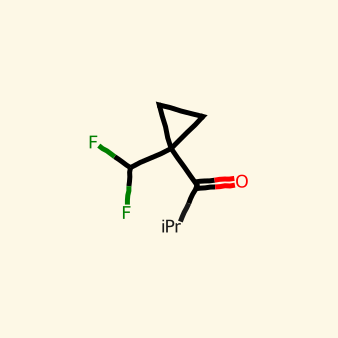 CC(C)C(=O)C1(C(F)F)CC1